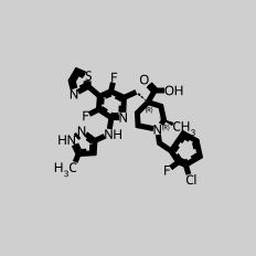 Cc1cc(Nc2nc(C[C@@]3(C(=O)O)CCN(Cc4cccc(Cl)c4F)[C@H](C)C3)c(F)c(-c3nccs3)c2F)n[nH]1